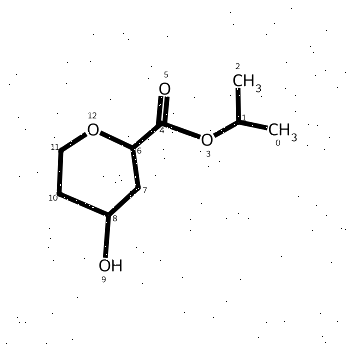 CC(C)OC(=O)C1CC(O)CCO1